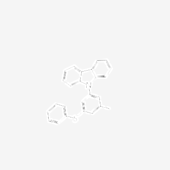 Cc1cc(Sc2ccccc2)cc(-n2c3ccccc3c3ccccc32)c1